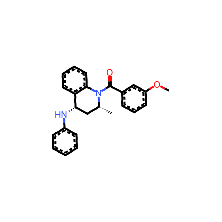 COc1cccc(C(=O)N2c3ccccc3[C@@H](Nc3ccccc3)C[C@H]2C)c1